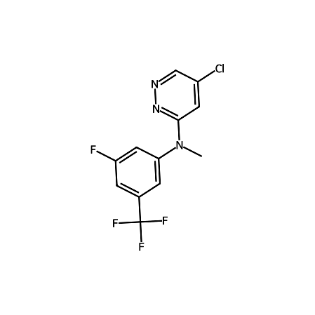 CN(c1cc(F)cc(C(F)(F)F)c1)c1cc(Cl)cnn1